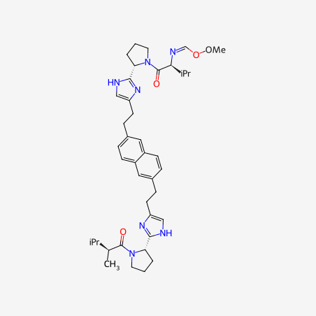 COO/C=N\[C@H](C(=O)N1CCC[C@H]1c1nc(CCc2ccc3cc(CCc4c[nH]c([C@@H]5CCCN5C(=O)[C@@H](C)C(C)C)n4)ccc3c2)c[nH]1)C(C)C